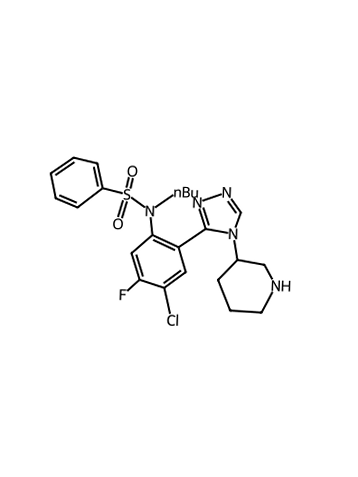 CCCCN(c1cc(F)c(Cl)cc1-c1nncn1C1CCCNC1)S(=O)(=O)c1ccccc1